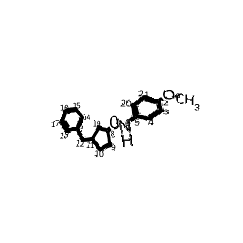 COc1ccc(NOC2CCC(Cc3ccccc3)C2)cc1